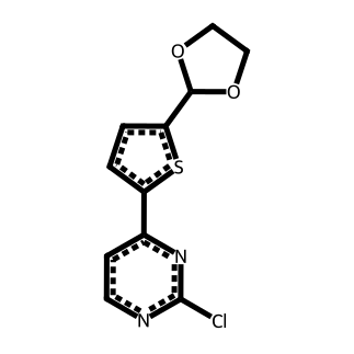 Clc1nccc(-c2ccc(C3OCCO3)s2)n1